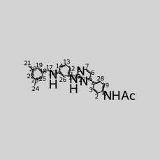 CC(=O)Nc1ccc(-c2ccnc(Nc3cccc(NCc4cc(C)cc(C)c4)c3)n2)cc1